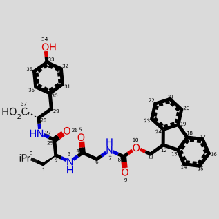 CC(C)C[C@H](NC(=O)CNC(=O)OCC1c2ccccc2-c2ccccc21)C(=O)N[C@@H](Cc1ccc(O)cc1)C(=O)O